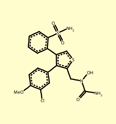 COc1ccc(-c2c(-c3ccccc3S(N)(=O)=O)csc2CN(O)C(N)=O)cc1Cl